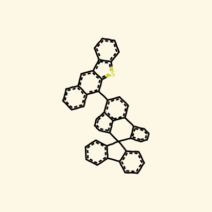 c1ccc2c(c1)-c1ccccc1C21c2ccccc2-c2ccc(-c3c4ccccc4cc4c3sc3ccccc34)c3cccc1c23